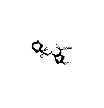 COC(=O)c1cc(C(F)(F)F)ccc1SCS(=O)(=O)c1ccccc1